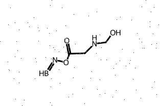 B=NOC(=O)CNCO